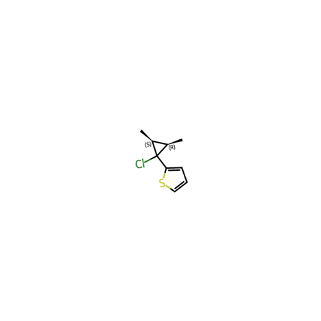 C[C@@H]1[C@H](C)C1(Cl)c1cccs1